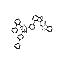 c1ccc(-c2ccc(-c3nc(-c4cccc(-c5cccc6oc7cc8c(cc7c56)oc5ccccc58)c4)nc(-c4ccccc4-c4ccccc4)n3)cc2)cc1